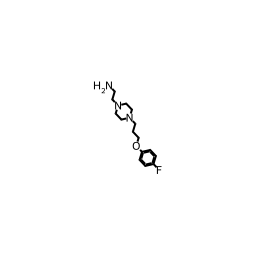 NCCN1CCN(CCCOc2ccc(F)cc2)CC1